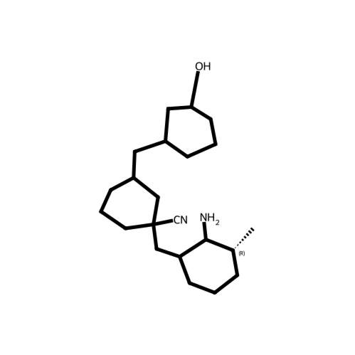 C[C@@H]1CCCC(CC2(C#N)CCCC(CC3CCCC(O)C3)C2)C1N